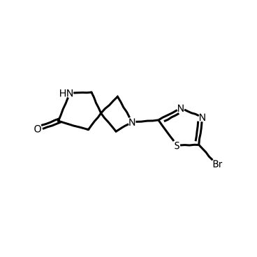 O=C1CC2(CN1)CN(c1nnc(Br)s1)C2